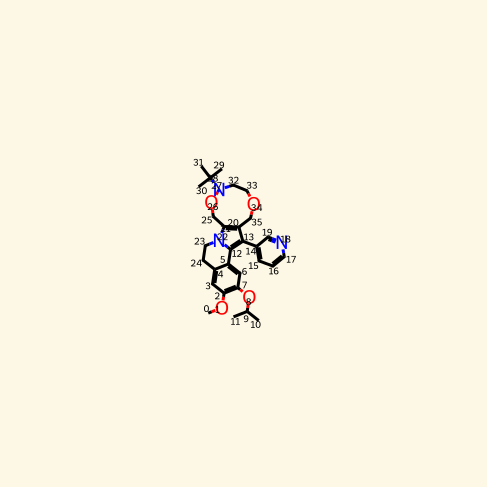 COc1cc2c(cc1OC(C)C)-c1c(-c3cccnc3)c3c(n1CC2)CON(C(C)(C)C)CCOC3